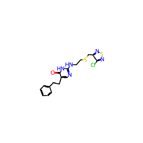 O=c1[nH]c(NCCSCc2nsnc2Cl)ncc1CCc1ccccc1